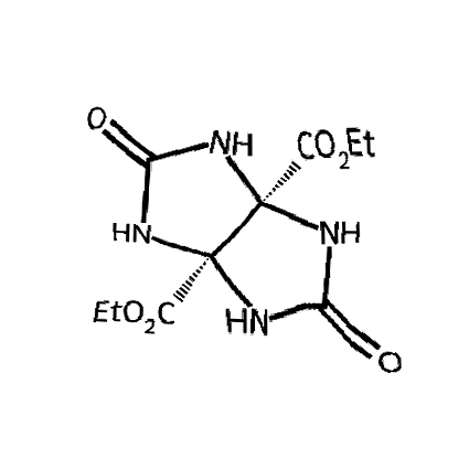 CCOC(=O)[C@]12NC(=O)N[C@@]1(C(=O)OCC)NC(=O)N2